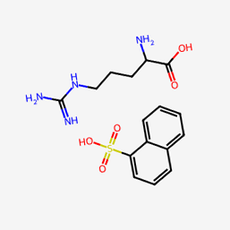 N=C(N)NCCCC(N)C(=O)O.O=S(=O)(O)c1cccc2ccccc12